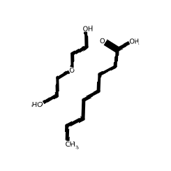 CCCCCCCC(=O)O.OCCOCCO